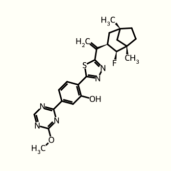 C=C(c1nnc(-c2ccc(-c3ncnc(OC)n3)cc2O)s1)[C@H]1C[C@]2(C)CC[C@@](C)(C2)[C@H]1F